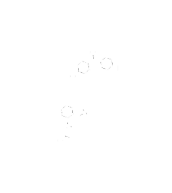 CCCc1cc(C(=O)c2ccc(F)cc2)ccc1OCCCOc1ccc(NCC(=O)O)c(C=N)c1